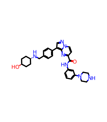 O=C(Nc1cccc(N2CCNCC2)c1)c1ccn2ncc(-c3ccc(CN[C@H]4CC[C@H](O)CC4)cc3)c2n1